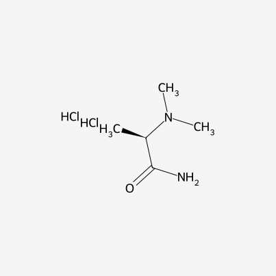 C[C@H](C(N)=O)N(C)C.Cl.Cl